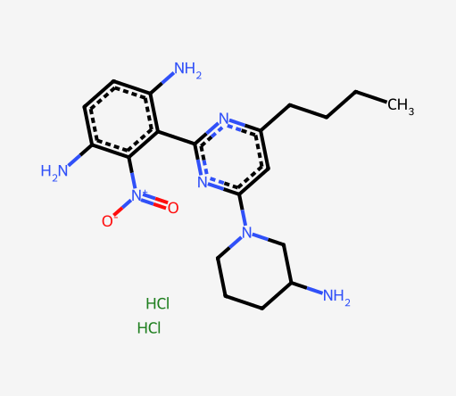 CCCCc1cc(N2CCCC(N)C2)nc(-c2c(N)ccc(N)c2[N+](=O)[O-])n1.Cl.Cl